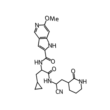 COc1cc2[nH]c(C(=O)NC(CC3CC3)C(=O)NC(C#N)CC3CCCNC3=O)cc2cn1